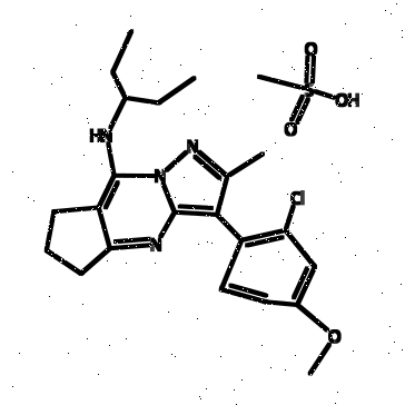 CCC(CC)Nc1c2c(nc3c(-c4ccc(OC)cc4Cl)c(C)nn13)CCC2.CS(=O)(=O)O